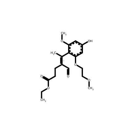 CCOC(=O)CC/C(C=O)=C(\C)c1c(OC)cc(O)cc1OCCOC